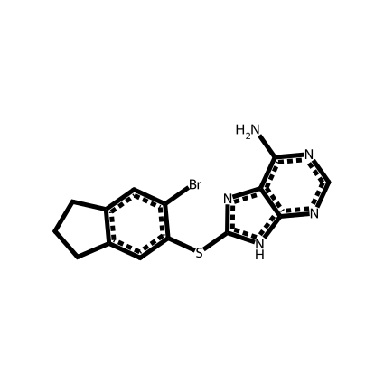 Nc1ncnc2[nH]c(Sc3cc4c(cc3Br)CCC4)nc12